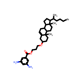 CC(C)CCCC(C)C1CCC2C3CC=C4CC(OCCCOC(=O)c5cc(N)cc(N)c5)CCC4(C)C3CCC12C